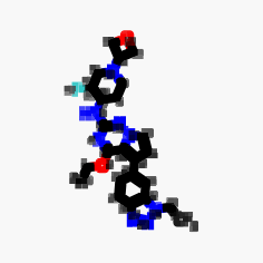 [2H]COc1nc(N[C@@H]2CCN(C3COC3)C[C@@H]2F)nn2ccc(-c3ccc4nnn(CC(F)(F)F)c4c3)c12